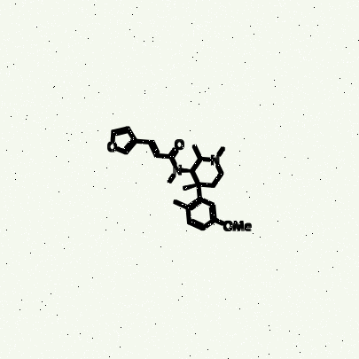 COc1ccc(C)c([C@@]2(C)CCN(C)C(C)[C@@H]2N(C)C(=O)/C=C/c2ccoc2)c1